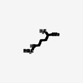 CCOC(=O)NCCCC(C)SC